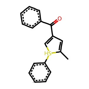 CC1=CC(C(=O)c2ccccc2)=C[SH]1c1cc[c]cc1